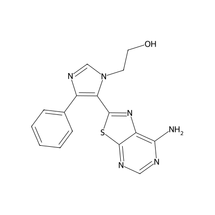 Nc1ncnc2sc(-c3c(-c4ccccc4)ncn3CCO)nc12